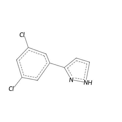 Clc1cc(Cl)cc(-c2cc[nH]n2)c1